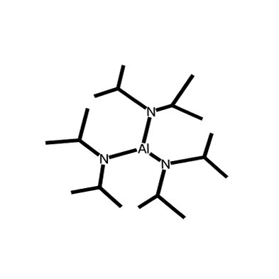 CC(C)[N](C(C)C)[Al]([N](C(C)C)C(C)C)[N](C(C)C)C(C)C